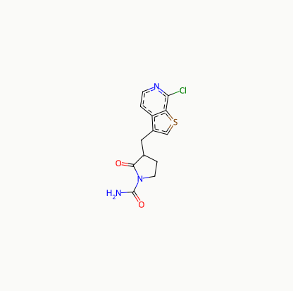 NC(=O)N1CC[C](Cc2csc3c(Cl)nccc23)C1=O